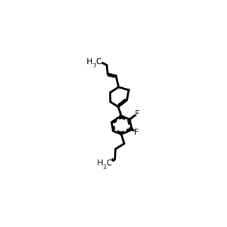 C=CCCc1ccc(C2=CCC(/C=C/CC)CC2)c(F)c1F